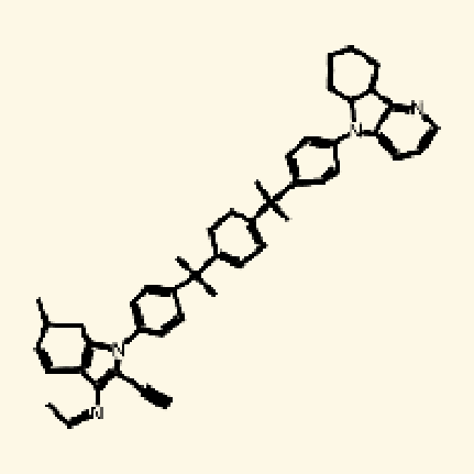 C#Cc1c(/N=C\C)c2c(n1-c1ccc(C(C)(C)C3=CC=C(C(C)(C)c4ccc(N5c6cccnc6C6CCCCC65)cc4)CC3)cc1)CC(C)C=C2